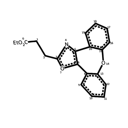 CCOC(=O)CCc1nc2c(o1)-c1ccccc1Oc1ccccc1-2